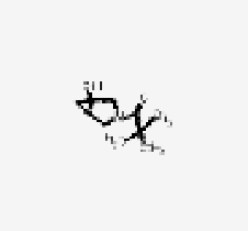 CC(C)(C)C(=O)N1CC2CC2(O)C1